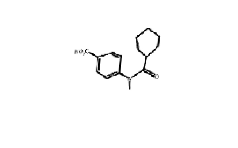 CN(C(=O)C1CCCCC1)c1ccc(C(=O)O)cc1